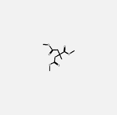 COC(=O)CC(C)(CC(=O)OC)C(=O)OC